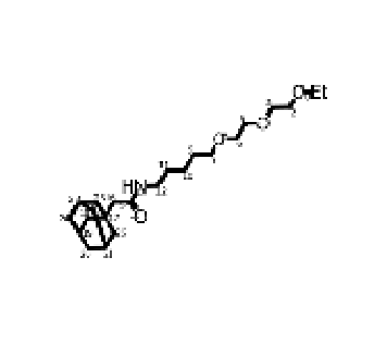 CCOCCOCCOCCCCCNC(=O)CC12CC3CC(CC(C3)C1)C2